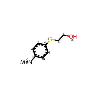 CNc1ccc(SCCO)cc1